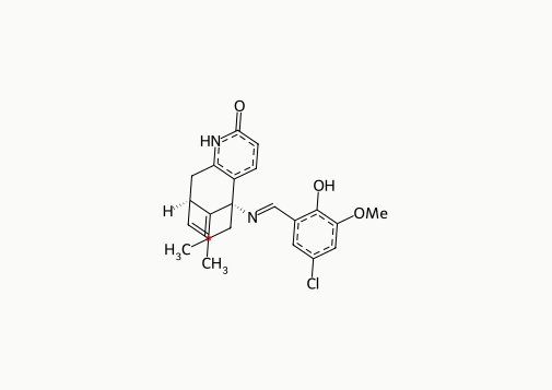 C/C=C1\[C@H]2C=C(C)C[C@]1(N=Cc1cc(Cl)cc(OC)c1O)c1ccc(=O)[nH]c1C2